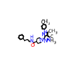 Cc1ccc(-n2nc3c(N4CCC(C(=O)NCCCc5ccccc5)CC4)nnc(C)c3c2C)cc1